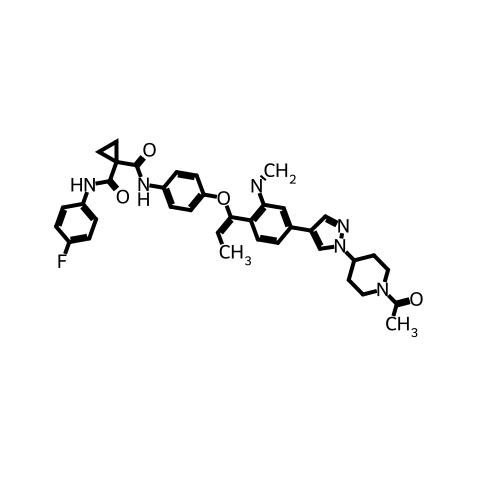 C=Nc1cc(-c2cnn(C3CCN(C(C)=O)CC3)c2)ccc1/C(=C\C)Oc1ccc(NC(=O)C2(C(=O)Nc3ccc(F)cc3)CC2)cc1